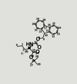 CC[C@@H](C)[C@@H](NC(=O)OCC1c2ccccc2-c2ccccc21)C(=O)OC(C)(C)C